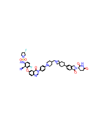 N#Cc1c(NS(=O)(=O)N2CC[C@@H](F)C2)ccc(F)c1Oc1ccc2ncn(-c3ccc(N4CCC(CN5CC6(CCC(c7ccc8c(c7)CN([C@H]7CCC(=O)NC7=O)C8=O)CC6)C5)CC4)cc3)c(=O)c2c1